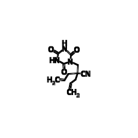 C=CCC(C#N)(CC=C)Cn1c(=O)[nH]c(=O)[nH]c1=O